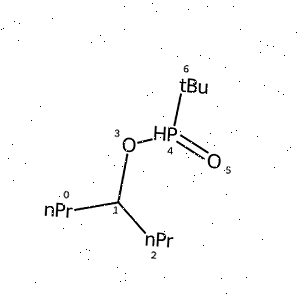 CCCC(CCC)O[PH](=O)C(C)(C)C